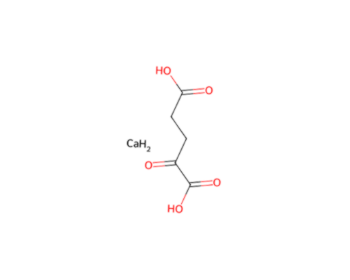 O=C(O)CCC(=O)C(=O)O.[CaH2]